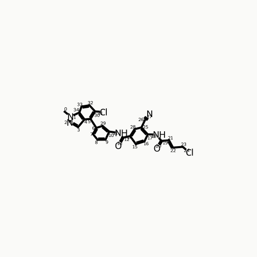 Cn1ncc2c(-c3cccc(NC(=O)c4ccc(NC(=O)C=CCCl)c(C#N)c4)c3)c(Cl)ccc21